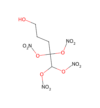 O=[N+]([O-])OC(O[N+](=O)[O-])C(CCCO)(O[N+](=O)[O-])O[N+](=O)[O-]